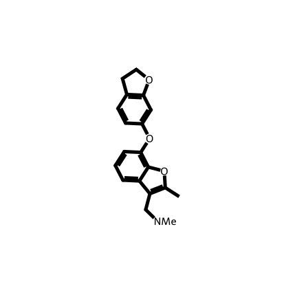 CNCc1c(C)oc2c(Oc3ccc4c(c3)OCC4)cccc12